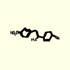 C/C(=C\c1ccc(C(=O)O)cc1)c1ccc(O)cc1